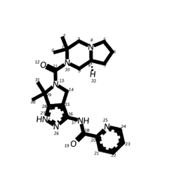 CC1(C)CN2CCC[C@H]2CN1C(=O)N1Cc2c(NC(=O)c3ccccn3)n[nH]c2C1(C)C